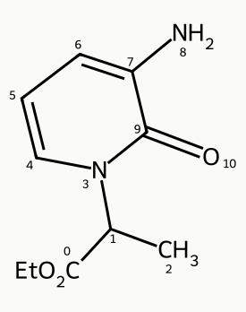 CCOC(=O)C(C)n1cccc(N)c1=O